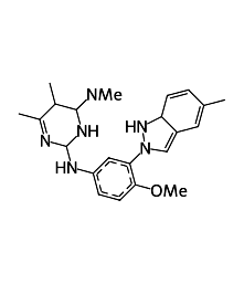 CNC1NC(Nc2ccc(OC)c(N3C=C4C=C(C)C=CC4N3)c2)N=C(C)C1C